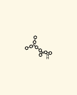 c1ccc(-c2ccc(N(c3ccc(-c4ccccc4)cc3)c3ccc(-c4ccc5c(c4)c4ccccc4n5-c4ccc5c(c4)[nH]c4ccccc45)cc3)cc2)cc1